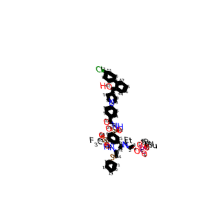 CCN(CCOP(=O)(OC(C)(C)C)OC(C)(C)C)CC[C@H](CSc1ccccc1)Nc1ccc(S(=O)(=O)NC(=O)c2ccc(N3CCC([C@@H](O)c4ccccc4-c4ccc(Cl)cc4)CC3)cc2)cc1S(=O)(=O)C(F)(F)F